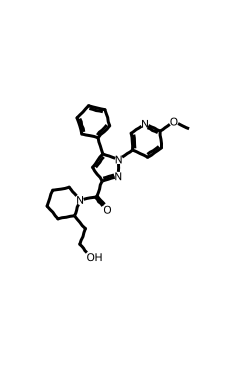 COc1ccc(-n2nc(C(=O)N3CCCCC3CCO)cc2-c2ccccc2)cn1